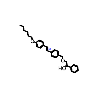 CCCCCCOc1ccc(/C=C/c2ccc(COC[C@H](O)c3ccccc3)cc2)cc1